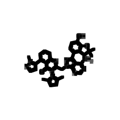 Cc1ccc(C)n1-n1c(Cn2nc(-c3ccc(O)c4c3CC(C)(C)O4)c3c(N)ncnc32)nc2cccc(-c3ccnn3C)c2c1=O